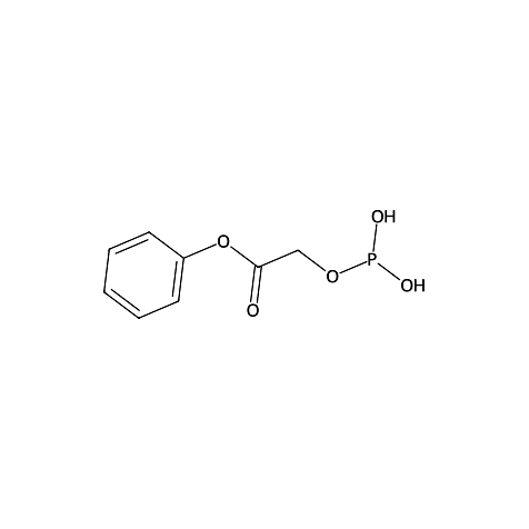 O=C(COP(O)O)Oc1ccccc1